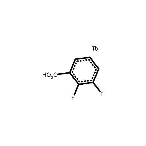 O=C(O)c1cccc(F)c1F.[Tb]